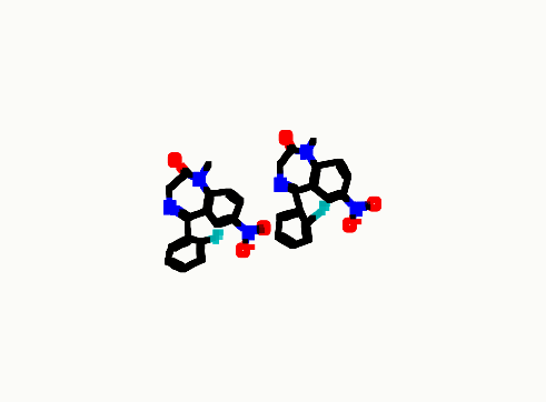 CN1C(=O)CN=C(c2ccccc2F)c2cc([N+](=O)[O-])ccc21.CN1C(=O)CN=C(c2ccccc2F)c2cc([N+](=O)[O-])ccc21